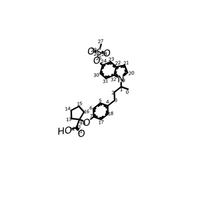 CC(CCc1ccc(OC2(C(=O)O)CCCC2)cc1)n1ccc2cc(OS(C)(=O)=O)ccc21